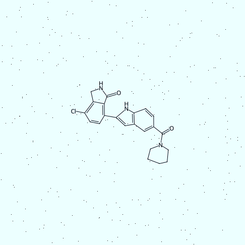 O=C1NCc2c(Cl)ccc(-c3cc4cc(C(=O)N5CCCCC5)ccc4[nH]3)c21